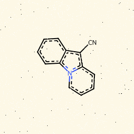 N#Cc1c2ccccc2n2ccccc12